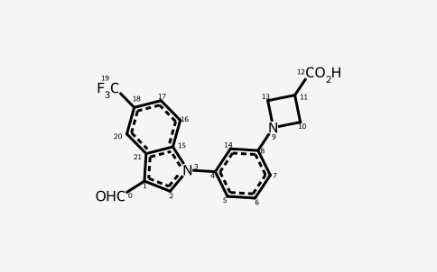 O=Cc1cn(-c2cccc(N3CC(C(=O)O)C3)c2)c2ccc(C(F)(F)F)cc12